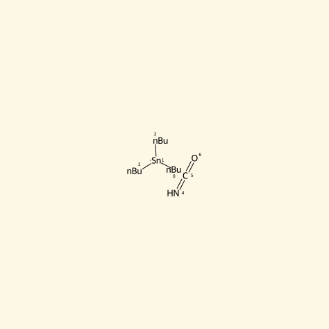 CCC[CH2][Sn]([CH2]CCC)[CH2]CCC.N=C=O